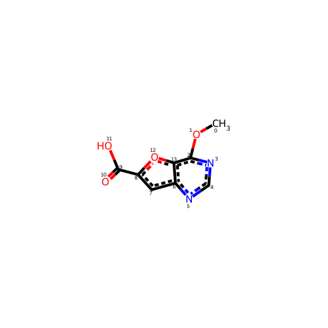 COc1ncnc2cc(C(=O)O)oc12